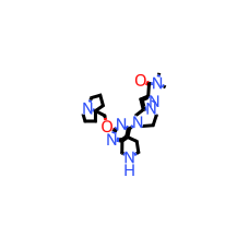 CN(C)C(=O)c1cc2n(n1)CCCN(c1nc(OCC34CCCN3CCC4)nc3c1CCNC3)C2